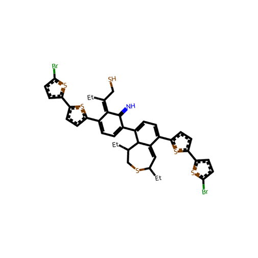 CC/C(CS)=C1/C(=N)C(C2=CC=C(c3ccc(-c4ccc(Br)s4)s3)C3=CC(CC)SCC(CC)C23)=CC=C1c1ccc(-c2ccc(Br)s2)s1